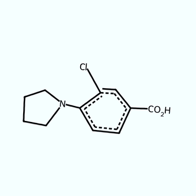 O=C(O)c1ccc(N2CCCC2)c(Cl)c1